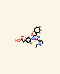 CCn1nccc1C(=O)N[C@H](C(=O)Nc1ccc(CC(=O)O)cc1F)C1CCCCCC1